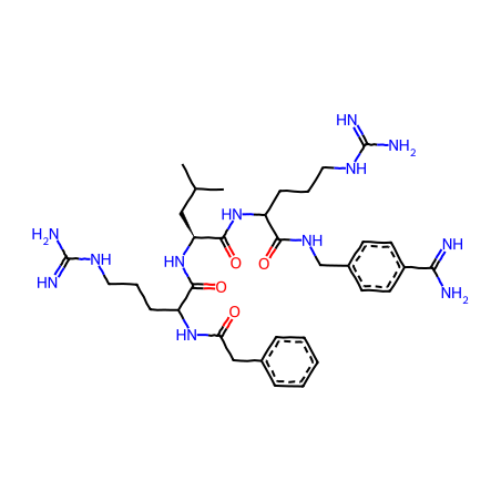 CC(C)C[C@H](NC(=O)C(CCCNC(=N)N)NC(=O)Cc1ccccc1)C(=O)NC(CCCNC(=N)N)C(=O)NCc1ccc(C(=N)N)cc1